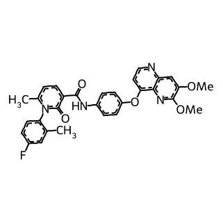 COc1cc2nccc(Oc3ccc(NC(=O)c4ccc(C)n(-c5ccc(F)cc5C)c4=O)cc3)c2nc1OC